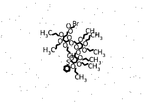 CCCCOC1C(OCCCC)[C@H](OCCCC)C(COC(=O)CBr)O[C@H]1OCC1O[C@@H](OCC2O[C@@H](Sc3ccccc3)C(OCCCC)C(OCCCC)[C@@H]2OCCCC)C(OCCCC)C(OCCCC)[C@@H]1OCCCC